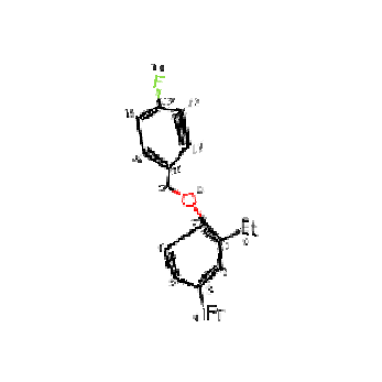 CCc1cc(C(C)C)ccc1OCc1ccc(F)cc1